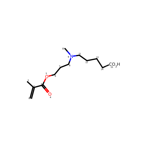 C=C(C)C(=O)OCCCN(C)CCCCC(=O)O